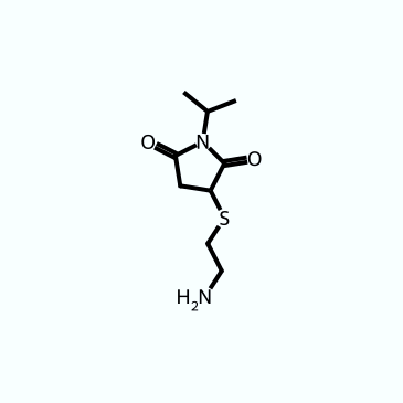 CC(C)N1C(=O)CC(SCCN)C1=O